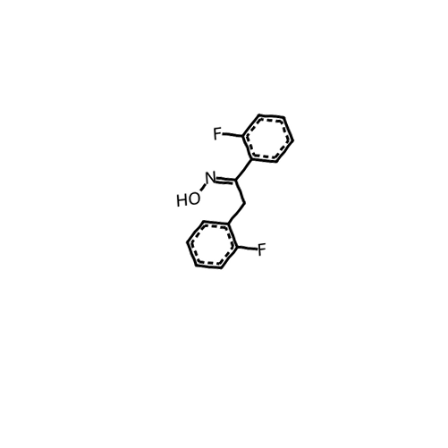 O/N=C(\Cc1ccccc1F)c1ccccc1F